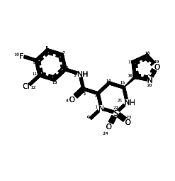 CN1C(C(=O)Nc2ccc(F)c(Cl)c2)C[C@@H](c2ccon2)NS1(=O)=O